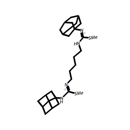 CS/C(=N\CCCCCN/C(=N\C12CC3CC(CC(C3)C1)C2)SC)NC12CC3CC4CC(C1)C432